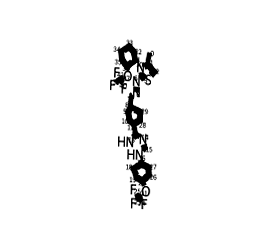 Cc1cs/c(=N\N=C\c2ccc(C(=N)/N=C\Nc3ccc(OC(F)(F)F)cc3)cc2)n1-c1ccccc1OC(F)(F)F